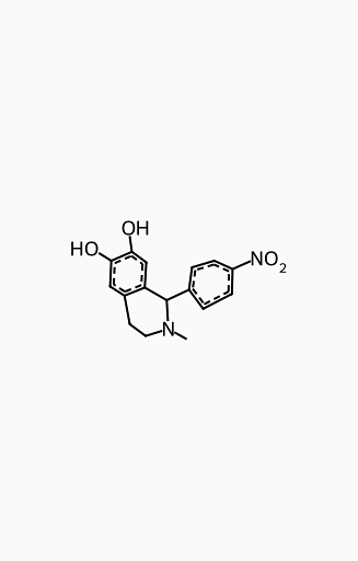 CN1CCc2cc(O)c(O)cc2C1c1ccc([N+](=O)[O-])cc1